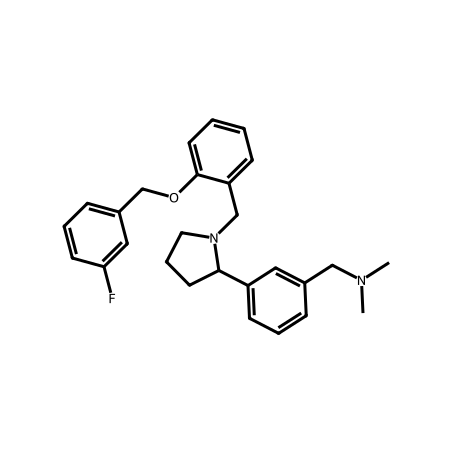 CN(C)Cc1cccc(C2CCCN2Cc2ccccc2OCc2cccc(F)c2)c1